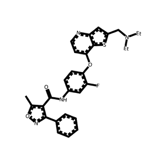 CCN(CC)Cc1cc2nccc(Oc3ccc(NC(=O)c4c(-c5ccccc5)noc4C)cc3F)c2s1